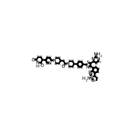 CCC(c1cccc(-c2nc(-c3ccc(C4CCN(C(=O)CC5CCN(c6ccc(C7CCC(=O)NC7=O)cn6)CC5)CC4)cc3)sc2-c2ccnc(N)n2)c1F)S(N)(=O)=O